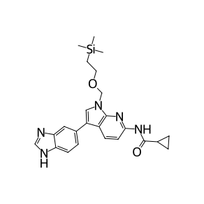 C[Si](C)(C)CCOCn1cc(-c2ccc3[nH]cnc3c2)c2ccc(NC(=O)C3CC3)nc21